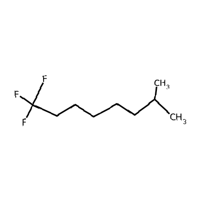 CC(C)CCCCCC(F)(F)F